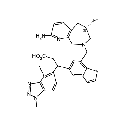 CC[C@H]1Cc2ccc(N)nc2CN(Cc2cc(C(CC(=O)O)c3ccc4c(nnn4C)c3C)cc3ccsc23)C1